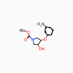 CC(C)(C)OC(=O)N1C[C@H](O)[C@H](Oc2cccc([N+](=O)[O-])c2)C1